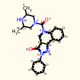 CC1CN(C(=O)n2cc3c(=O)n(-c4ccccc4)nc-3c3ccccc32)CC(C)N1